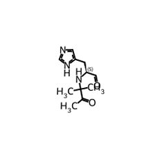 CC(=O)C(C)(C)N[C@H](C=O)Cc1cnc[nH]1